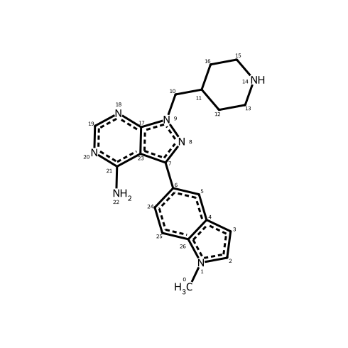 Cn1ccc2cc(-c3nn(CC4CCNCC4)c4ncnc(N)c34)ccc21